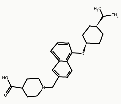 CC(C)[C@H]1CC[C@@H](Oc2cccc3cc(CN4CCC(C(=O)O)CC4)ccc23)CC1